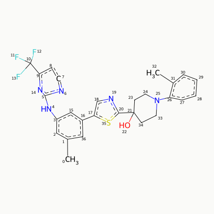 Cc1cc(Nc2nccc(C(F)(F)F)n2)cc(-c2cnc(C3(O)CCN(c4ccccc4C)CC3)s2)c1